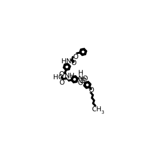 CCCCCCCOc1ccc(S(=O)(=O)Nc2ccc(C[C@H](NC(=O)c3ccc(NC(=O)COCc4ccccc4)cc3)C(=O)O)cc2)cc1